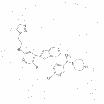 CC(c1cnc(Cl)cc1-c1cccc2cc(-c3nc(NCCn4ccnn4)ncc3F)sc12)N1CCNCC1